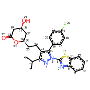 CC(C)c1nn(-c2nc3ccccc3s2)c(-c2ccc(F)cc2)c1CC[C@@H]1C[C@H](O)CC(=O)O1